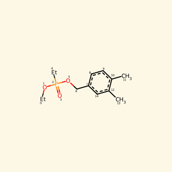 CCOP(=O)(CC)OCc1ccc(C)c(C)c1